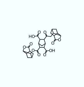 O=C1OC2C(CC(=O)C3C4CC(C3C(=O)O)C(C(=O)OC3C5CC6C(=O)OC3C6C5)C4C(=O)O)C3CC1C2C3